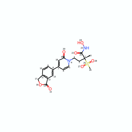 C[C@@](CCn1ccc(-c2ccc3c(c2)C(=O)OC3)cc1=O)(C(=O)NO)S(C)(=O)=O